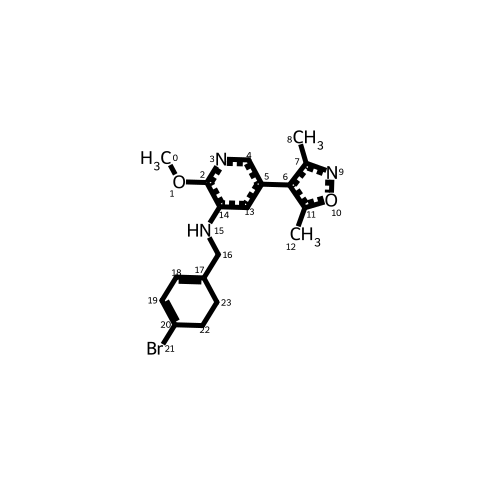 COc1ncc(-c2c(C)noc2C)cc1NCC1=CC=C(Br)CC1